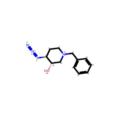 [N-]=[N+]=N[C@H]1CCN(Cc2ccccc2)C[C@@H]1O